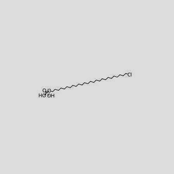 O=P(O)(O)OCCCCCCCCCCCCCCCCCCCCCCCCCCCl